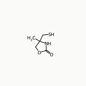 CC1(CS)COC(=O)N1